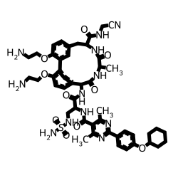 Cc1nc(-c2ccc(OC3CCCCC3)cc2)nc(C)c1C(=O)NC(CNS(N)(=O)=O)C(=O)NC1C(=O)NC(C)C(=O)NC(C(=O)NCC#N)Cc2ccc(OCCN)c(c2)-c2cc1ccc2OCCN